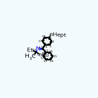 CCCCCCCc1ccc(/C(=N/C(C)(CC)CCCC)c2ccccc2)cc1